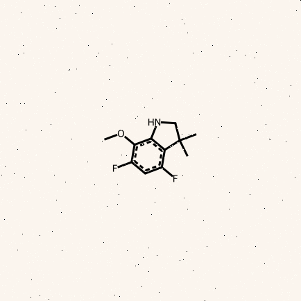 COc1c(F)cc(F)c2c1NCC2(C)C